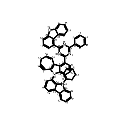 C1#Cc2c(c3c(-c4nc(-c5ccccc5)nc(-c5cccc6oc7ccccc7c56)n4)cccc3n2-c2cccc3c4ccccc4n(C4=CC=CCC4)c23)C=CC1